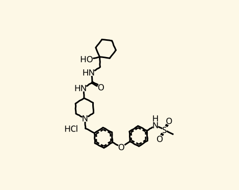 CS(=O)(=O)Nc1ccc(Oc2ccc(CN3CCC(NC(=O)NCC4(O)CCCCC4)CC3)cc2)cc1.Cl